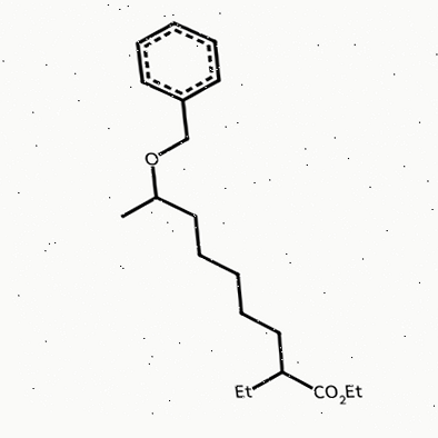 CCOC(=O)C(CC)CCCCCC(C)OCc1ccccc1